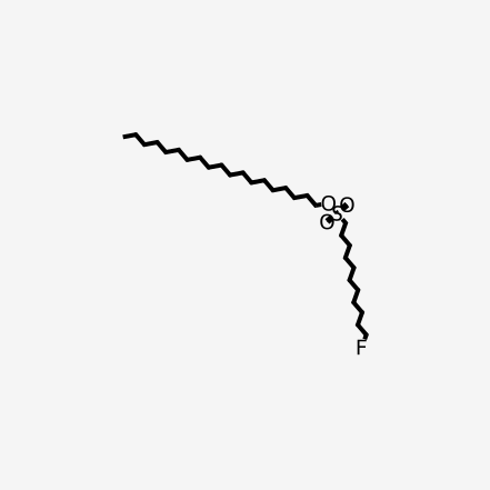 CCCCCCCCCCCCCCCCCCCOS(=O)(=O)CCCCCCCCCCCF